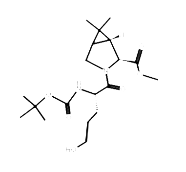 COC(=O)[C@@H]1[C@@H]2C(CN1C(=O)[C@H](CCCO)NC(=O)OC(C)(C)C)C2(C)C